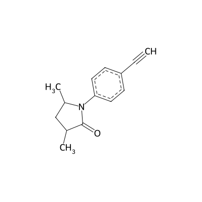 C#Cc1ccc(N2C(=O)C(C)CC2C)cc1